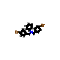 Brc1ccc(CN(Cc2ccc(Br)cc2)c2ccccc2)cc1